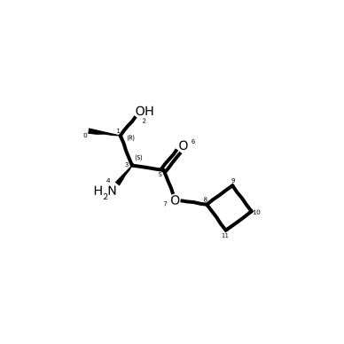 C[C@@H](O)[C@H](N)C(=O)OC1CCC1